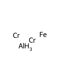 [AlH3].[Cr].[Cr].[Fe]